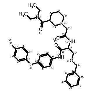 CCN(CC)C(=O)C1CCCN(CC(=O)NC(COCc2ccccc2)C(=O)Nc2ccc(Oc3ccc(F)cc3)cc2)C1